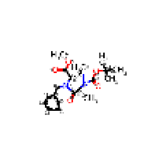 CC[C@@H](C(=O)OC)N(Cc1ccccc1)C(=O)[C@@H](C)NC(=O)OC(C)(C)C